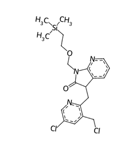 C[Si](C)(C)CCOCN1C(=O)C(Cc2ncc(Cl)cc2CCl)c2cccnc21